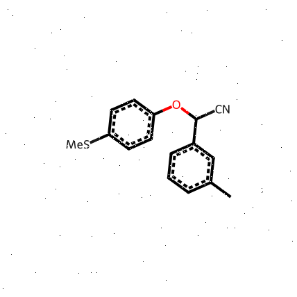 CSc1ccc(OC(C#N)c2cccc(C)c2)cc1